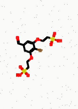 O=CC1C=C(OCCS(=O)(=O)O)C(Br)=C(OCCS(=O)(=O)O)C1